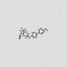 COc1ccc(-c2ccc(CN3CCC(CC#N)(C(C)(C)C)CC3)cc2)cc1